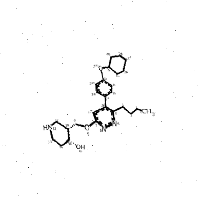 CCCCc1nnc(OC[C@H]2CNCC[C@H]2O)cc1-c1ccc(OC2CCCCC2)cc1